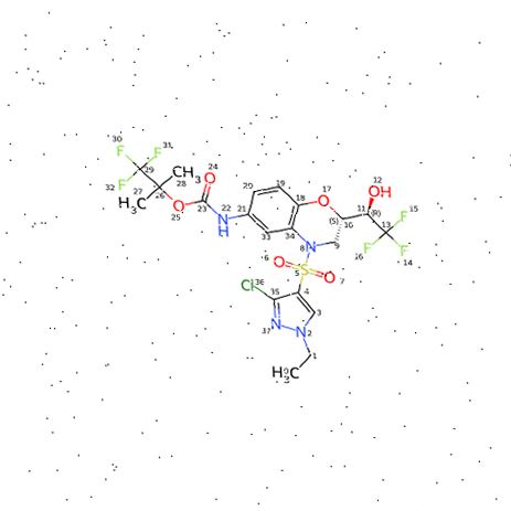 CCn1cc(S(=O)(=O)N2C[C@@H]([C@@H](O)C(F)(F)F)Oc3ccc(NC(=O)OC(C)(C)C(F)(F)F)cc32)c(Cl)n1